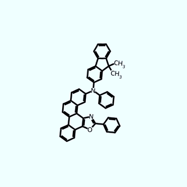 CC1(C)c2ccccc2-c2ccc(N(c3ccccc3)c3ccc4ccc5c6ccccc6c6oc(-c7ccccc7)nc6c5c4c3)cc21